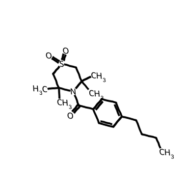 CCCCc1ccc(C(=O)N2C(C)(C)CS(=O)(=O)CC2(C)C)cc1